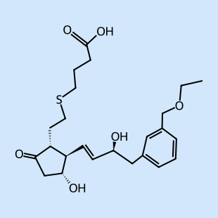 CCOCc1cccc(C[C@H](O)/C=C/[C@H]2[C@H](O)CC(=O)[C@@H]2CCSCCCC(=O)O)c1